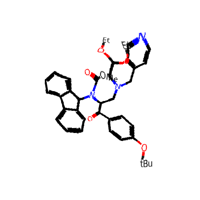 CCOC(CN(Cc1ccncc1)CC(C(=O)c1ccc(OC(C)(C)C)cc1)N(C(=O)OC)C1c2ccccc2-c2ccccc21)OCC